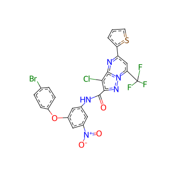 O=C(Nc1cc(Oc2ccc(Br)cc2)cc([N+](=O)[O-])c1)c1nn2c(C(F)(F)F)cc(-c3cccs3)nc2c1Cl